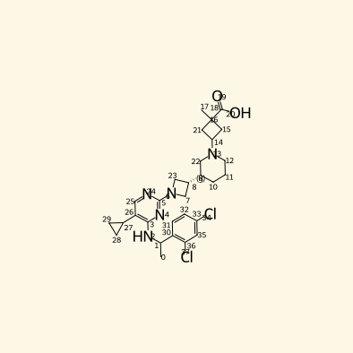 CC(Nc1nc(N2CC([C@H]3CCCN(C4CC(C)(C(=O)O)C4)C3)C2)ncc1C1CC1)c1ccc(Cl)cc1Cl